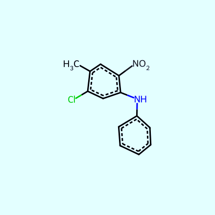 Cc1cc([N+](=O)[O-])c(Nc2ccccc2)cc1Cl